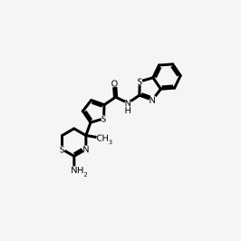 CC1(c2ccc(C(=O)Nc3nc4ccccc4s3)s2)CCSC(N)=N1